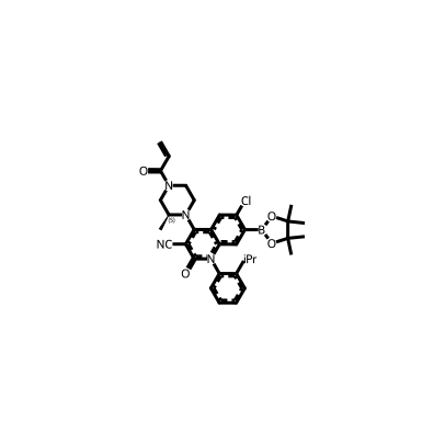 C=CC(=O)N1CCN(c2c(C#N)c(=O)n(-c3ccccc3C(C)C)c3cc(B4OC(C)(C)C(C)(C)O4)c(Cl)cc23)[C@@H](C)C1